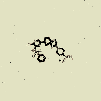 CN(C)C1CCN(c2cnc3ccc(-c4cnc(Cl)c(NS(=O)(=O)c5ccccc5)c4)cc3n2)CC1